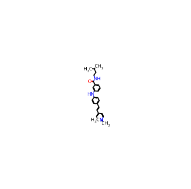 C=N\C=C/C(=C\C)/C=C/c1ccc(Nc2cccc(C(=O)NCCC(C)C)c2)cc1